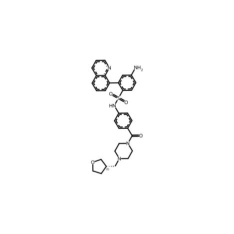 Nc1ccc(S(=O)(=O)Nc2ccc(C(=O)N3CCN(C[C@@H]4CCOC4)CC3)cc2)c(-c2cccc3cccnc23)c1